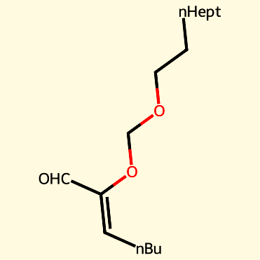 CCCCC=C(C=O)OCOCCCCCCCCC